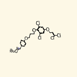 CC(C)CO/N=C/c1ccc(OCCCOc2c(Cl)cc(OCC=C(Cl)Cl)cc2Cl)cc1